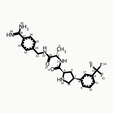 C[C@H](NC(=O)[C@H]1C[C@@H](c2cccc(C(F)(F)F)c2)CN1)C(=O)NCc1ccc(C(=N)N)cc1